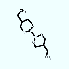 CCC1COB(B2OCC(CC)CO2)OC1